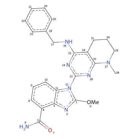 COc1nc2c(C(N)=O)cccc2n1-c1nc(NCc2ccccc2)c2c(n1)N(C)CCC2